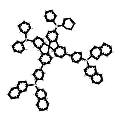 C1=CCCC(N(c2ccccc2)c2ccc3c(c2)-c2cc(-c4ccc(N(c5ccc6ccccc6c5)c5ccc6ccccc6c5)cc4)ccc2C32c3ccc(-c4ccc(N(c5ccc6ccccc6c5)c5ccc6ccccc6c5)cc4)cc3-c3cc(N(c4ccccc4)c4ccccc4)ccc32)=C1